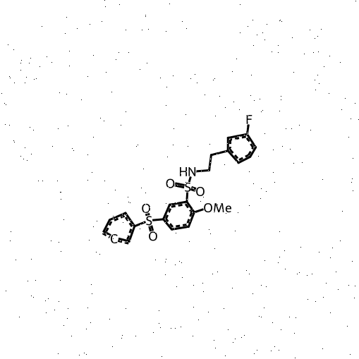 COc1ccc(S(=O)(=O)c2ccccc2)cc1S(=O)(=O)NCCc1cccc(F)c1